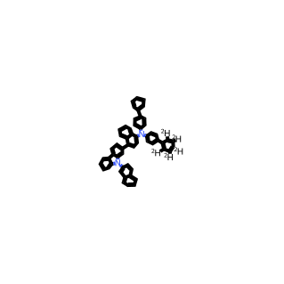 [2H]c1c([2H])c([2H])c(-c2ccc(N(c3ccc(-c4ccccc4)cc3)c3ccc(-c4ccc5c6ccccc6n(-c6ccc7ccccc7c6)c5c4)c4ccccc34)cc2)c([2H])c1[2H]